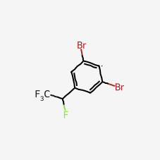 FC(c1cc(Br)[c]c(Br)c1)C(F)(F)F